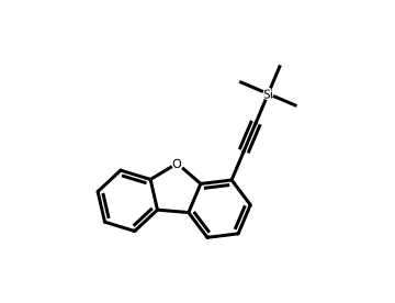 C[Si](C)(C)C#Cc1cccc2c1oc1ccccc12